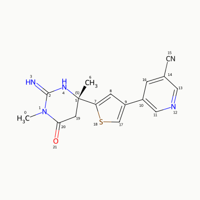 CN1C(=N)N[C@](C)(c2cc(-c3cncc(C#N)c3)cs2)CC1=O